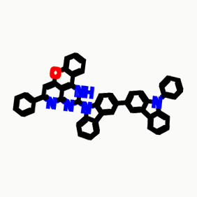 c1ccc(-c2cc3c4c(n2)=NC(n2c5ccccc5c5cc(-c6ccc7c(c6)c6ccccc6n7-c6ccccc6)ccc52)NC=4c2ccccc2O3)cc1